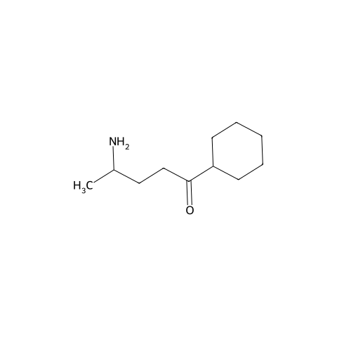 CC(N)CCC(=O)C1CCCCC1